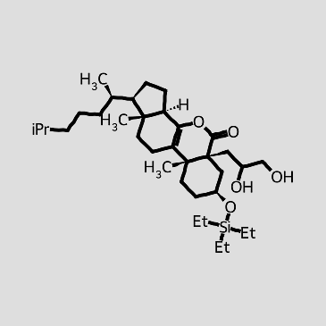 CC[Si](CC)(CC)O[C@H]1CC[C@]2(C)C3=C(OC(=O)[C@]2(CC(O)CO)C1)[C@@H]1CC[C@H]([C@H](C)CCCC(C)C)[C@@]1(C)CC3